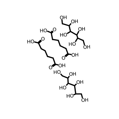 O=C(O)CCCCC(=O)O.O=C(O)CCCCC(=O)O.OCC(O)C(O)C(O)C(O)CO.OCC(O)C(O)C(O)C(O)CO